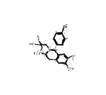 C[C@@H]1Cc2cc(O)c(O)cc2[C@@H](c2ccc(Br)cc2)N1CC(F)(F)F